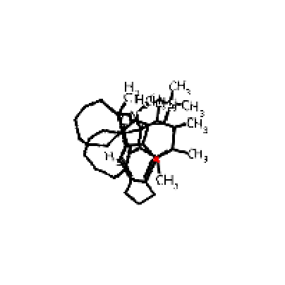 CC1C(C)C(C)C(N(C)C2(C)CCCCCCC23CC(C[Si](C)(C)C)C2C=C4CCCC4=CC23)(C2(C)CCCCCCC2)C(C)C1C